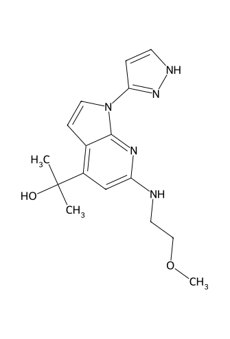 COCCNc1cc(C(C)(C)O)c2ccn(-c3cc[nH]n3)c2n1